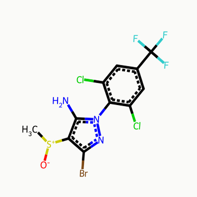 C[S+]([O-])c1c(Br)nn(-c2c(Cl)cc(C(F)(F)F)cc2Cl)c1N